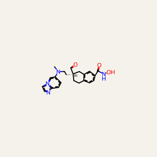 CN(CC[C@@]1(C=O)CCc2ccc(C(=O)NO)cc2C1)c1ccc2nccn2c1